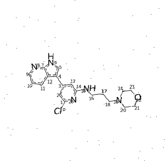 Clc1cc(-c2c[nH]c3ncccc23)cc(NCCCN2CCOCC2)n1